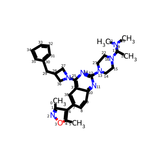 Cc1noc(C)c1-c1ccc2nc(N3CCN(C(C)N(C)C)CC3)nc(N3CC(Cc4ccccc4)C3)c2c1